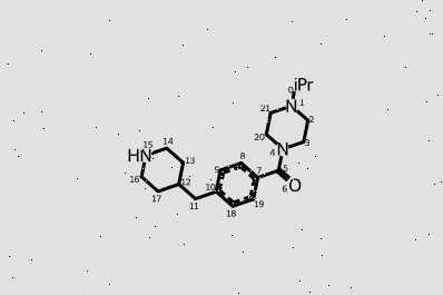 CC(C)N1CCN(C(=O)c2ccc(CC3CCNCC3)cc2)CC1